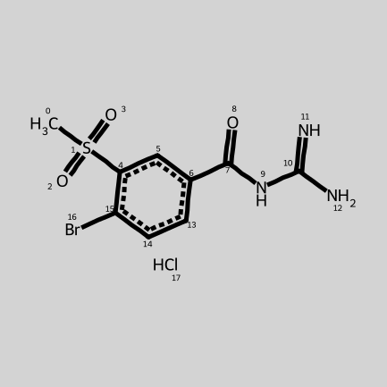 CS(=O)(=O)c1cc(C(=O)NC(=N)N)ccc1Br.Cl